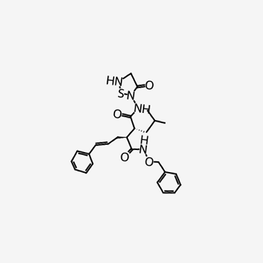 CC(C)C[C@@H](C(=O)NN1SNCC1=O)[C@H](CC=Cc1ccccc1)C(=O)NOCc1ccccc1